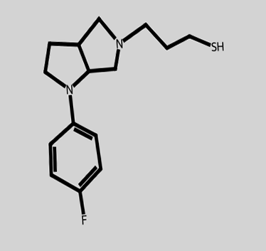 Fc1ccc(N2CCC3CN(CCCS)CC32)cc1